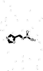 CC(C)(C)[S+]([O-])/N=C/c1cnco1